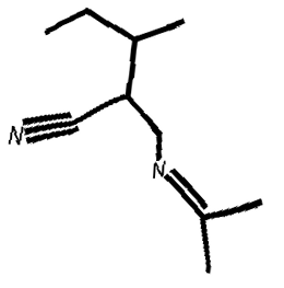 CCC(C)C(C#N)CN=C(C)C